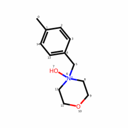 Cc1ccc(C[N+]2(O)CCOCC2)cc1